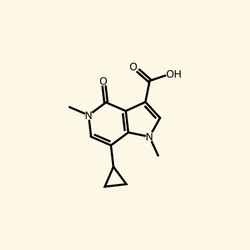 Cn1cc(C2CC2)c2c(c(C(=O)O)cn2C)c1=O